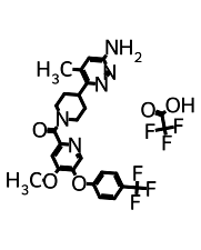 COc1cc(C(=O)N2CCC(c3nnc(N)cc3C)CC2)ncc1Oc1ccc(C(F)(F)F)cc1.O=C(O)C(F)(F)F